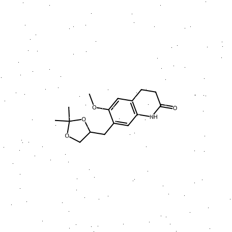 COc1cc2c(cc1CC1COC(C)(C)O1)NC(=O)CC2